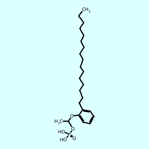 CCCCCCCCCCCCCCCCc1ccccc1OC(C)OP(=O)(O)O